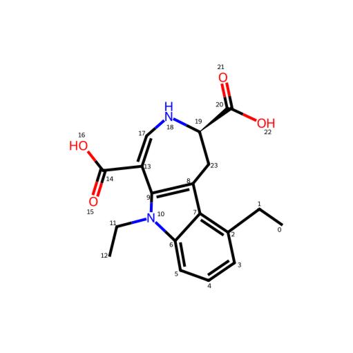 CCc1cccc2c1c1c(n2CC)C(C(=O)O)=CN[C@@H](C(=O)O)C1